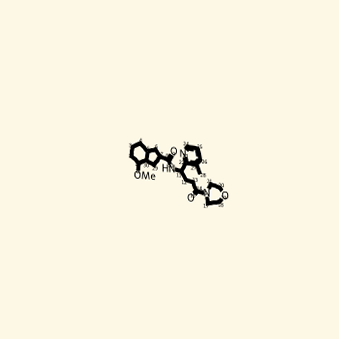 COC1CCCC2CC(C(=O)NC(CCC(=O)N3CCOCC3)c3ncccc3C)CC21